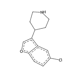 Clc1ccc2occ(C3CCNCC3)c2c1